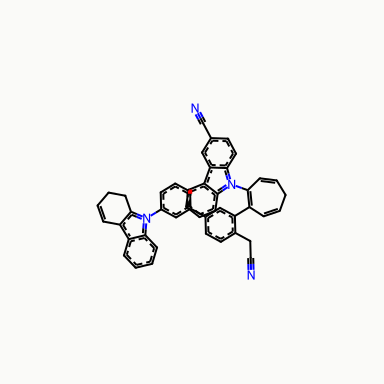 N#CCc1ccc(-c2cccc(-n3c4c(c5ccccc53)C=CCC4)c2)cc1C1=C(n2c3ccccc3c3cc(C#N)ccc32)C=CCC=C1